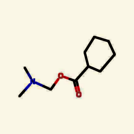 CN(C)COC(=O)C1CCCCC1